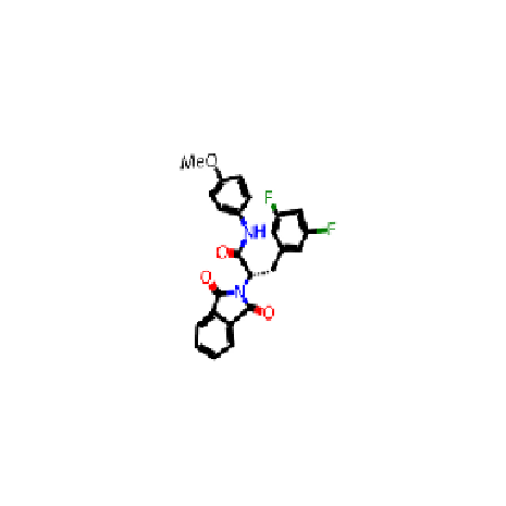 COc1ccc(NC(=O)[C@H](Cc2cc(F)cc(F)c2)N2C(=O)c3ccccc3C2=O)cc1